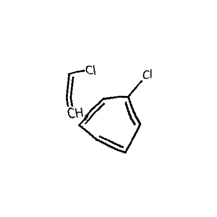 C=CCl.Clc1ccccc1